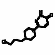 O=c1ccc(N2CCC(CCCCl)CC2)n[nH]1